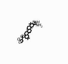 CC1(C)CC2C3=CCC4[C@@]5(C)Cc6c(n[nH]c6N)C(C)(C)C5CC[C@@]4(C)[C@]3(C)CC[C@@H]2[C@H](C(=O)C2CCOC2=O)C1